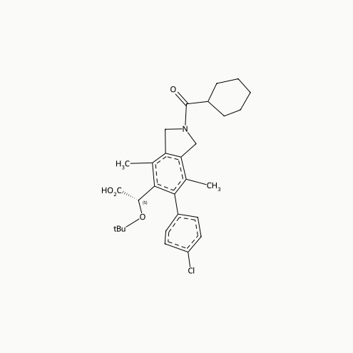 Cc1c2c(c(C)c([C@H](OC(C)(C)C)C(=O)O)c1-c1ccc(Cl)cc1)CN(C(=O)C1CCCCC1)C2